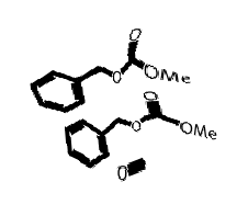 C=O.COC(=O)OCc1ccccc1.COC(=O)OCc1ccccc1